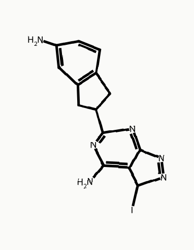 Nc1ccc2c(c1)CC(c1nc(N)c3c(n1)N=NC3I)C2